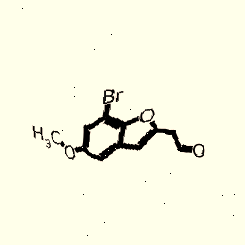 COc1cc(Br)c2oc(CC=O)cc2c1